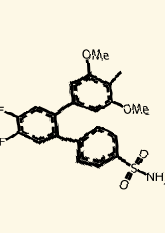 COc1cc(-c2cc(F)c(F)cc2-c2ccc(S(N)(=O)=O)cc2)cc(OC)c1C